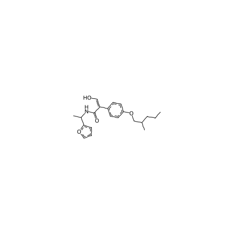 CCCC(C)COc1ccc(C(=CO)C(=O)NC(C)c2ccco2)cc1